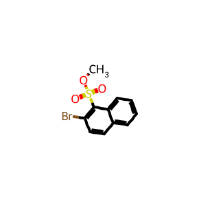 COS(=O)(=O)c1c(Br)ccc2ccccc12